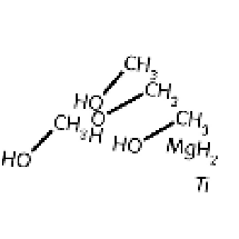 CO.CO.CO.CO.[MgH2].[Ti]